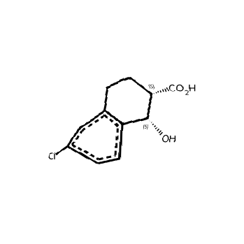 O=C(O)[C@H]1CCc2cc(Cl)ccc2[C@H]1O